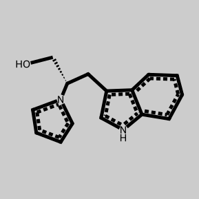 OC[C@H](Cc1c[nH]c2ccccc12)n1cccc1